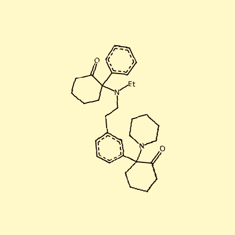 CCN(CCc1cccc(C2(N3CCCCC3)CCCCC2=O)c1)C1(c2ccccc2)CCCCC1=O